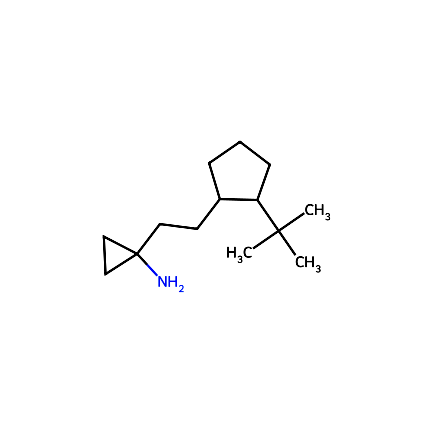 CC(C)(C)C1CCCC1CCC1(N)CC1